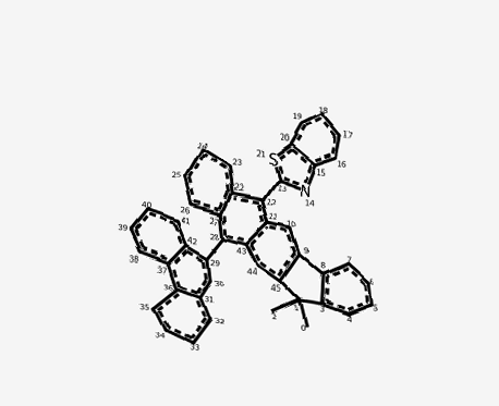 CC1(C)c2ccccc2-c2cc3c(-c4nc5ccccc5s4)c4ccccc4c(-c4cc5ccccc5c5ccccc45)c3cc21